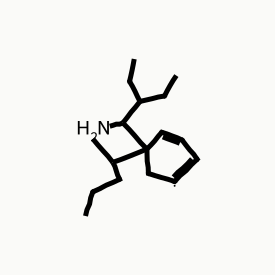 CCCC(C)C1(C(N)C(CC)CC)C=CC=[C]C1